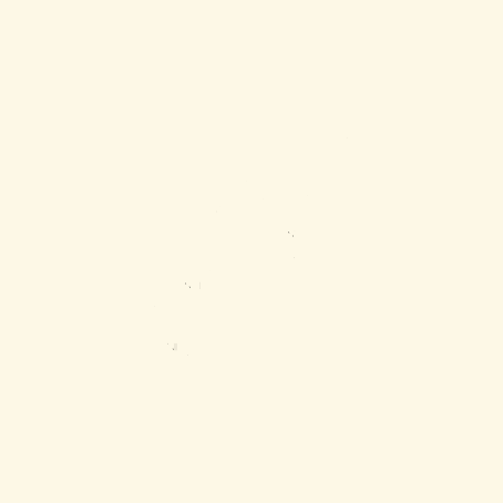 CCS(=O)(=O)c1ccc(Cl)cc1CNC(=O)c1cc(Cl)c(C[C@H]2NCCC2N)c(C(F)(F)F)c1